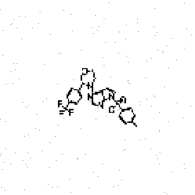 Cc1ccc(S(=O)(=O)n2ccc3c(N4CCOCC4c4ccc(C(F)(F)F)cc4)ncnc32)cc1